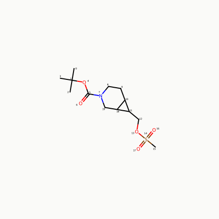 CC(C)(C)OC(=O)N1CCC2C(COS(C)(=O)=O)C2C1